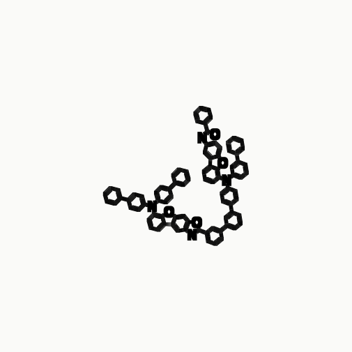 c1ccc(-c2ccc(N(c3ccc(-c4ccccc4)cc3)c3cccc4c3oc3cc5oc(-c6cccc(-c7cccc(-c8ccc(N(c9cccc(-c%10ccccc%10)c9)c9cccc%10c9oc9cc%11oc(-c%12ccccc%12)nc%11cc9%10)cc8)c7)c6)nc5cc34)cc2)cc1